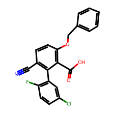 N#Cc1ccc(OCc2ccccc2)c(C(=O)O)c1-c1cc(Cl)ccc1F